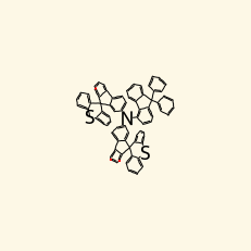 c1ccc(C2(c3ccccc3)c3ccccc3-c3c(N(c4ccc5c(c4)C4(c6ccccc6Sc6ccccc64)c4ccccc4-5)c4ccc5c(c4)C4(c6ccccc6Sc6ccccc64)c4ccccc4-5)cccc32)cc1